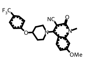 COc1ccc2c(N3CCC(Oc4ccc(C(F)(F)F)cc4)CC3)c(C#N)c(=O)n(C)c2c1